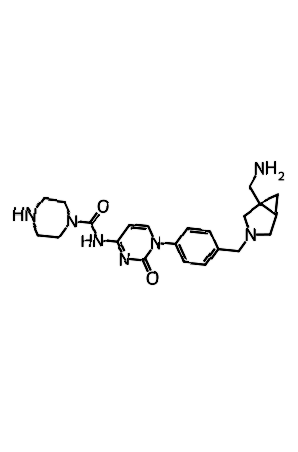 NCC12CC1CN(Cc1ccc(-n3ccc(NC(=O)N4CCNCC4)nc3=O)cc1)C2